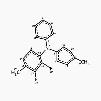 Cc1ccc(N(c2ccccc2)c2ccc(C)c(F)c2F)cc1